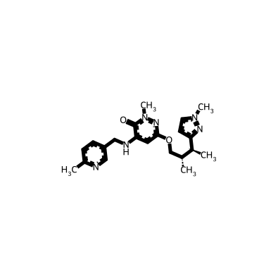 Cc1ccc(CNc2cc(OC[C@@H](C)[C@H](C)c3ccn(C)n3)nn(C)c2=O)cn1